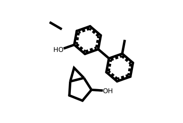 CC.Cc1ccccc1-c1cccc(O)c1.OC1CCC2CC12